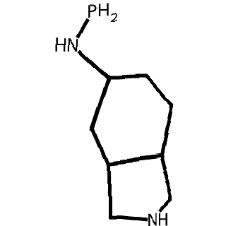 PNC1CCC2CNCC2C1